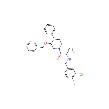 CC(NCc1ccc(Cl)c(Cl)c1)C(=O)N1CCC(c2ccccc2)C(OCc2ccccc2)C1